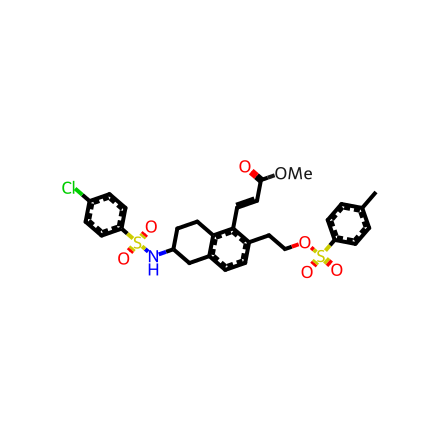 COC(=O)C=Cc1c(CCOS(=O)(=O)c2ccc(C)cc2)ccc2c1CCC(NS(=O)(=O)c1ccc(Cl)cc1)C2